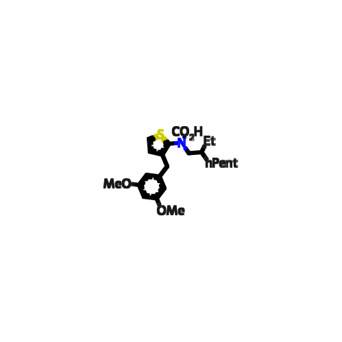 CCCCCC(CC)CN(C(=O)O)c1sccc1Cc1cc(OC)cc(OC)c1